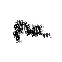 CC[C@H](C)[C@H](NC(=O)[C@H](CC(N)=O)NC(=O)[C@@H](NC(=O)[C@H](CCCNC(=N)N)NC(=O)[C@H](C)NC(=O)[C@@H](N)C(C)C)[C@@H](C)CC)C(=O)NCC(=O)N[C@@H](CO)C(=O)N[C@H](C(=O)N[C@@H](CO)C(=O)N[C@H](C(=O)N[C@@H](Cc1ccc(O)cc1)C(=O)N[C@@H](Cc1ccc(O)cc1)C(=O)O)[C@@H](C)O)[C@@H](C)O